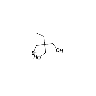 CCC(CO)(CO)CBr